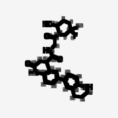 N#CC1CCC(F)(F)CN1C(=O)CNC(=O)C1CC(=O)Nc2ccc(-c3ccc4c(c3)CCCN4)cc21